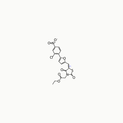 CCOC(=O)CN1C(=O)S/C(=C/c2ccc(-c3ccc([N+](=O)[O-])cc3Cl)o2)C1=O